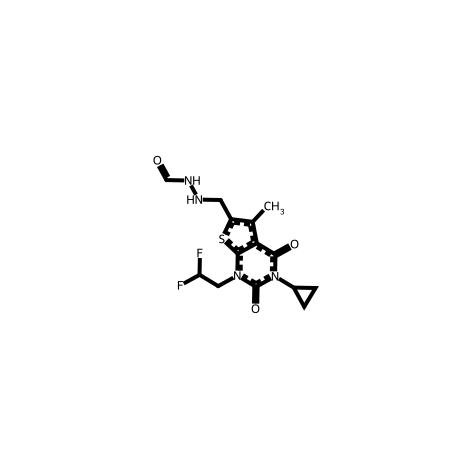 Cc1c(CNNC=O)sc2c1c(=O)n(C1CC1)c(=O)n2CC(F)F